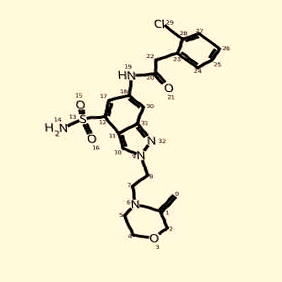 C=C1COCCN1CCn1cc2c(S(N)(=O)=O)cc(NC(=O)Cc3ccccc3Cl)cc2n1